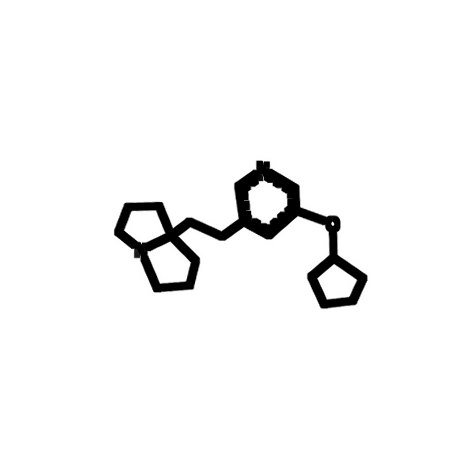 c1ncc(OC2CCCC2)cc1CCC12CCCN1CCC2